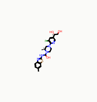 Cc1ccc2nc(NC(O)N3CCN(c4ncc([C@H](O)CO)cc4F)C[C@@H]3C)sc2c1